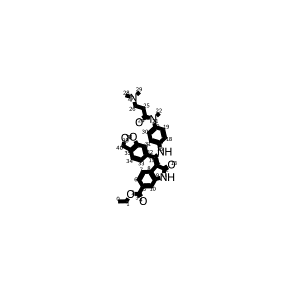 CCOC(=O)c1ccc2c(c1)NC(=O)/C2=C(\Nc1ccc(N(C)C(=O)CCN(C)C)cc1)c1ccc2c(c1)OOC2